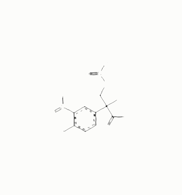 CC(CO[N+](=O)[O-])(C(=O)O)c1ccc(Cl)c([N+](=O)[O-])c1